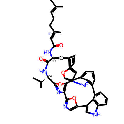 CC(C)=CCC/C(C)=C/C(=O)N[C@H]1Cc2ccc3c(c2)C24c5cccc(c5NC2O3)-c2cccc3[nH]cc(c23)-c2cnc(o2)-c2nc(oc24)[C@H](C(C)C)NC1=O